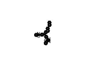 c1ccc2cc(-c3ccc4c(ccc5cc(N(c6ccc(-c7nc8ccccc8o7)cc6)c6ccc(-c7ncnc8c7oc7ccccc78)cc6)ccc54)c3)ccc2c1